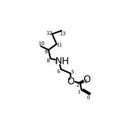 C=CC(=O)OCCNCC(C)CCC